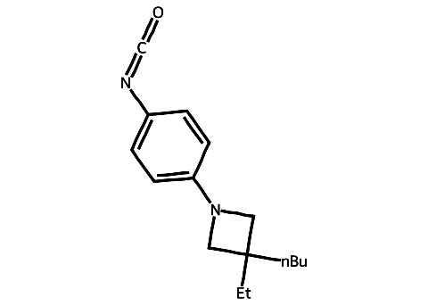 CCCCC1(CC)CN(c2ccc(N=C=O)cc2)C1